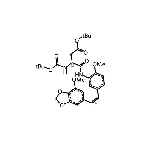 COc1ccc(/C=C\c2cc(OC)c3c(c2)OCO3)cc1NC(=O)[C@H](CC(=O)OC(C)(C)C)NC(=O)OC(C)(C)C